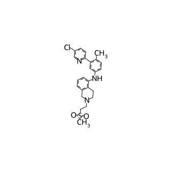 Cc1ccc(Nc2cccc3c2CCN(CCS(C)(=O)=O)C3)cc1-c1ccc(Cl)cn1